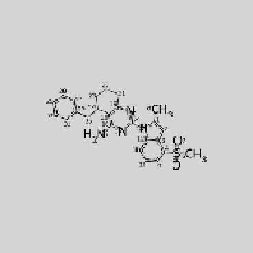 Cc1cc2c(S(C)(=O)=O)cccc2n1-c1nc(N)c2c(n1)CCCC2Cc1ccccc1